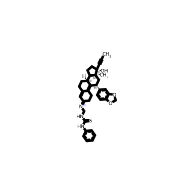 CC#C[C@]1(O)CCC2[C@@H]3CCC4=C/C(=N/CNC(=S)Nc5ccccc5)CCC4=C3[C@@H](c3ccc4c(c3)OCO4)C[C@@]21C